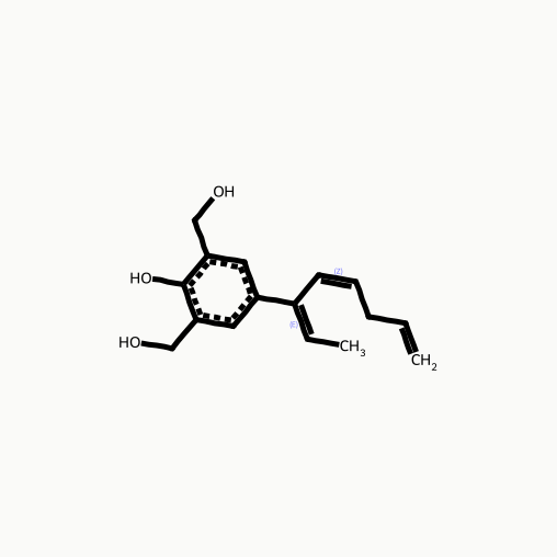 C=CC/C=C\C(=C/C)c1cc(CO)c(O)c(CO)c1